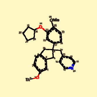 CCOc1ccc2c(c1)CC(Cc1ccncc1)(c1ccc(OC)c(OC3CCCC3)c1)C2